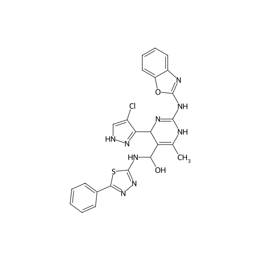 CC1=C(C(O)Nc2nnc(-c3ccccc3)s2)C(c2n[nH]cc2Cl)N=C(Nc2nc3ccccc3o2)N1